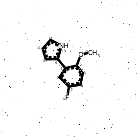 COc1ccc(F)cc1-c1ccc[nH]1